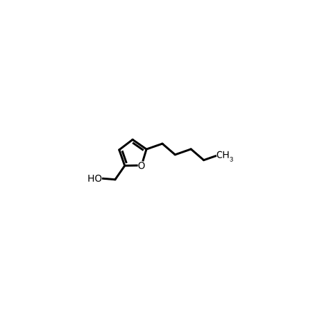 CCCCCc1ccc(CO)o1